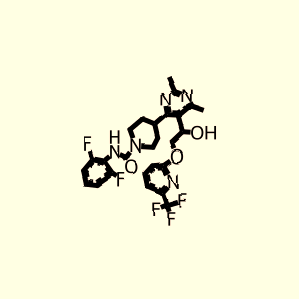 Cc1nc(C)c(C(O)COc2cccc(C(F)(F)F)n2)c(C2CCN(C(=O)Nc3c(F)cccc3F)CC2)n1